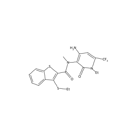 CCSc1c(C(=O)N(C)c2c(N)cc(C(F)(F)F)n(CC)c2=O)sc2ccccc12